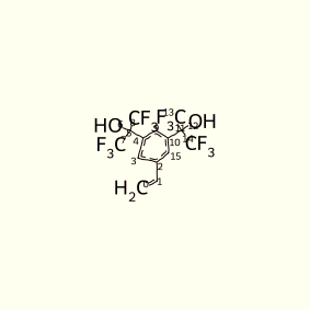 C=Cc1cc(C(O)(C(F)(F)F)C(F)(F)F)cc(C(O)(C(F)(F)F)C(F)(F)F)c1